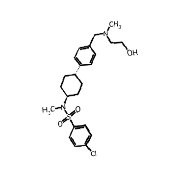 CN(CCO)Cc1ccc([C@H]2CC[C@H](N(C)S(=O)(=O)c3ccc(Cl)cc3)CC2)cc1